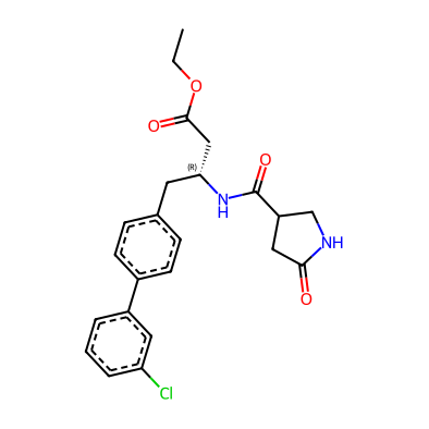 CCOC(=O)C[C@@H](Cc1ccc(-c2cccc(Cl)c2)cc1)NC(=O)C1CNC(=O)C1